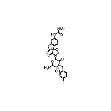 CNC(=O)Nc1ccc2c(c1)CC(=O)[C@]21OCN(CC(=O)N(Cc2ccc(F)cc2)[C@@H](C)C(N)=O)C1=O